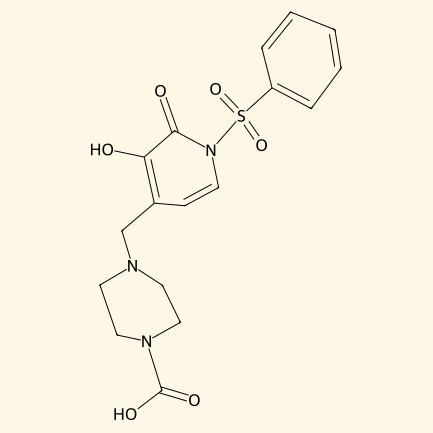 O=C(O)N1CCN(Cc2ccn(S(=O)(=O)c3ccccc3)c(=O)c2O)CC1